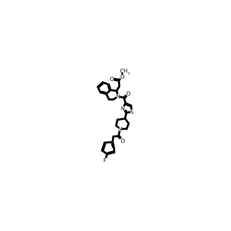 COC(=O)CC1c2ccccc2CCN1C(=O)c1csc(C2CCN(C(=O)Cc3ccc(F)cc3)CC2)n1